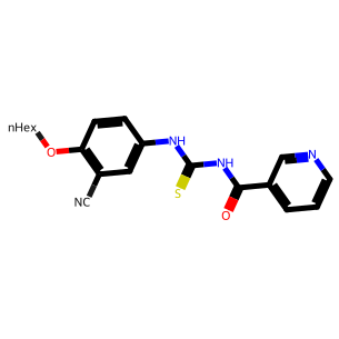 CCCCCCOc1ccc(NC(=S)NC(=O)c2cccnc2)cc1C#N